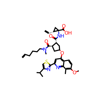 C=CCCCCN(C)C(=O)[C@@H]1C[C@H](Oc2cc(-c3nc(C(C)C)cs3)nc3c(C)c(OC)ccc23)C[C@H]1C(=O)N[C@]1(C(=O)O)C[C@H]1C=C